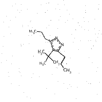 CCCc1nnn(CCC)c1C(C)(C)C